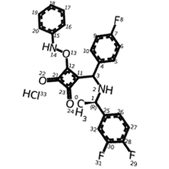 C[C@@H](NC(c1ccc(F)cc1)c1c(ONc2ccccc2)c(=O)c1=O)c1ccc(F)c(F)c1.Cl